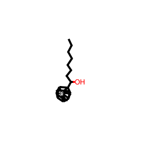 CCCCCCCC(O)[C]12[CH]3[CH]4[CH]5[CH]1[Fe]45321678[CH]2[CH]1[CH]6[CH]7[CH]28